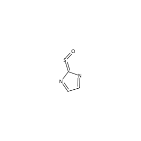 O=S=C1N=CC=N1